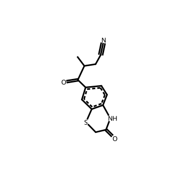 CC(CC#N)C(=O)c1ccc2c(c1)SCC(=O)N2